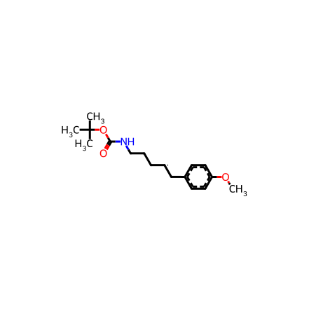 COc1ccc(C[CH]CCCNC(=O)OC(C)(C)C)cc1